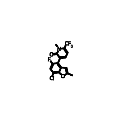 Cc1cc2c(-c3ccc(C(F)(F)F)n(C)c3=O)c(F)cc(Cl)c2o1